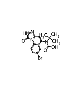 CC(C)(C)N(C(=O)O)c1cc2n[nH]c(=O)n2c2ccc(Br)cc12